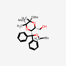 CO[C@@]1(C)O[C@@H](C(O[SiH2]C(C)(C)C)(c2ccccc2)c2ccccc2)[C@@H](CO)O[C@]1(C)OC